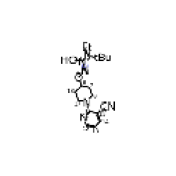 CCN(/[N+](O)=N/OC1CCN(c2ncccc2C#N)CC1)C(C)(C)C